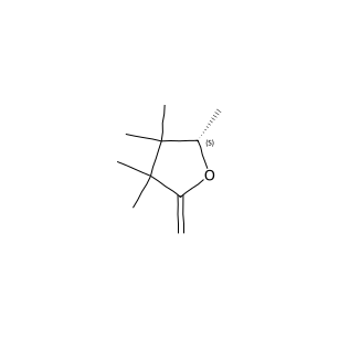 C=C1O[C@@H](C)C(C)(C)C1(C)C